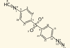 C#[N+]c1ccc(S(=O)(=O)c2ccc([N+]#N)cc2)cc1